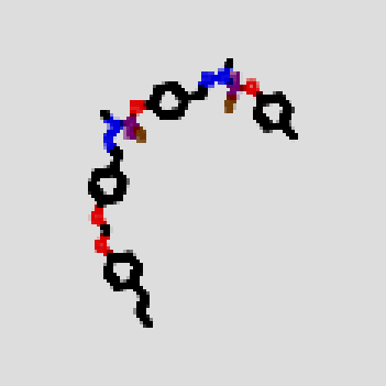 C/C=C/c1ccc(OCOc2ccc(/C=N/N(C)[PH](=S)Oc3ccc(/C=N/N(C)[PH](=S)Oc4ccc(C)cc4)cc3)cc2)cc1